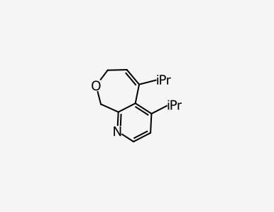 CC(C)C1=CCOCc2nccc(C(C)C)c21